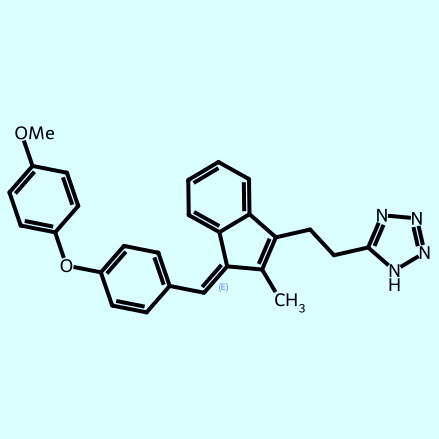 COc1ccc(Oc2ccc(/C=C3/C(C)=C(CCc4nnn[nH]4)c4ccccc43)cc2)cc1